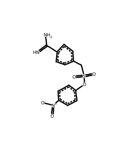 N=C(N)c1ccc(CS(=O)(=O)Oc2ccc([N+](=O)[O-])cc2)cc1